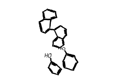 Oc1ccccc1.Oc1ccccc1.c1ccc2c(-c3cccc4ccccc34)cccc2c1